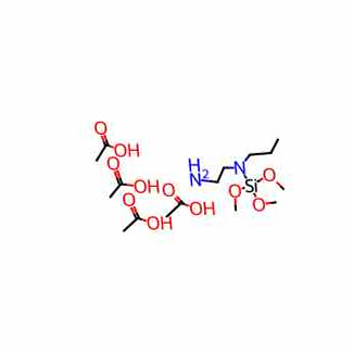 CC(=O)O.CC(=O)O.CC(=O)O.CC(=O)O.CCCN(CCN)[Si](OC)(OC)OC